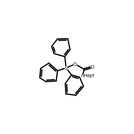 CCCCCCCC(=O)OS(c1ccccc1)(c1ccccc1)c1ccccc1